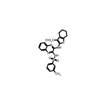 CCOC(=O)c1c(Nc2nc3ccccc3nc2NS(=O)(=O)c2cccc(C)c2)sc2c1CCCC2